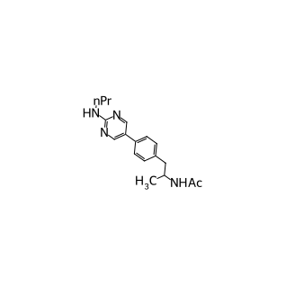 CCCNc1ncc(-c2ccc(CC(C)NC(C)=O)cc2)cn1